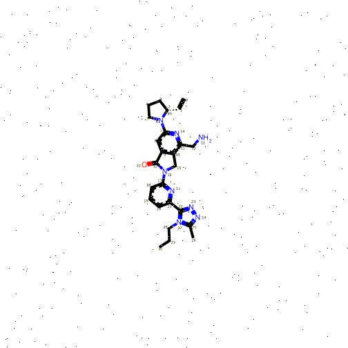 C=C[C@H]1CCCN1c1cc2c(c(CN)n1)CN(c1cccc(-c3nnc(C)n3CCC)n1)C2=O